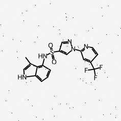 Cc1c[nH]c2cccc(NS(=O)(=O)c3cnn(-c4cc(C(F)(F)F)ccn4)c3)c12